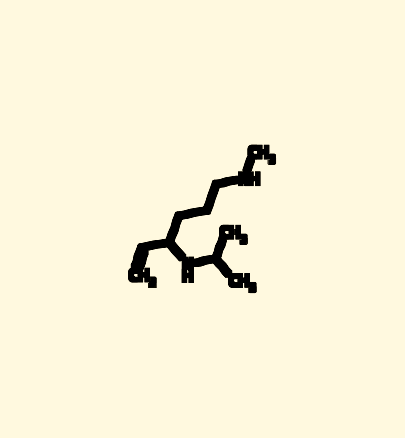 C=CC(CCCNC)NC(C)C